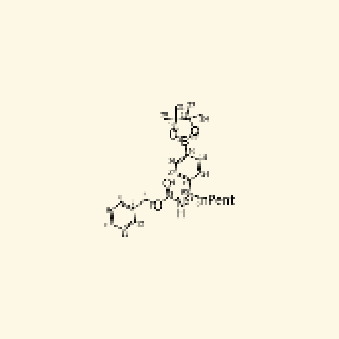 CCCCC[C@@H](NC(=O)OCc1ccccc1)c1ccc(B2OC(C)(C)C(C)(C)O2)cc1